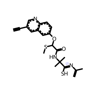 C#Cc1cnc2ccc(OC(SC)C(=O)NC(C)(C)/C(S)=N/C(=C)C)cc2c1